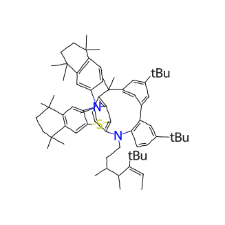 C/C=C(\C(C)C(C)CCN1c2ccc(C(C)(C)C)cc2-c2cc(C(C)(C)C)cc(c2)C(C)(C)c2c(C)cc1c1c2N(c2ccc3c(c2)C(C)(C)CCC3(C)C)c2cc3c(cc2S1)C(C)(C)CCC3(C)C)C(C)(C)C